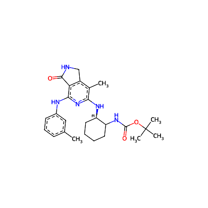 Cc1cccc(Nc2nc(N[C@@H]3CCCCC3NC(=O)OC(C)(C)C)c(C)c3c2C(=O)NC3)c1